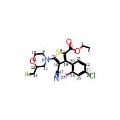 CCOC(=O)c1sc(N2CCOC(CF)C2)c(C#N)c1-c1ccc(Cl)cc1I